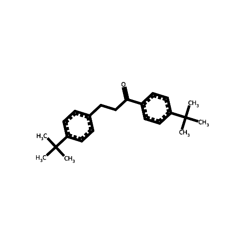 CC(C)(C)c1ccc(CCC(=O)c2ccc(C(C)(C)C)cc2)cc1